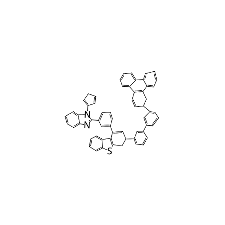 C1=CC(n2c(-c3cccc(C4=CC(c5cccc(-c6cccc(C7C=Cc8c(c9ccccc9c9ccccc89)C7)c6)c5)Cc5sc6ccccc6c54)c3)nc3ccccc32)=CC1